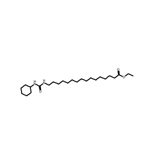 CCOC(=O)CCCCCCCCCCCCCCCNC(=O)NC1CCCCC1